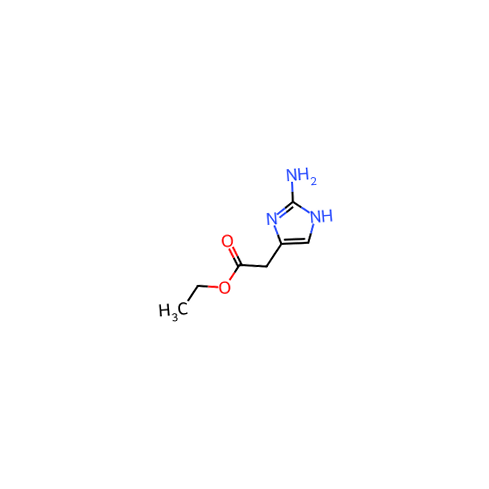 CCOC(=O)Cc1c[nH]c(N)n1